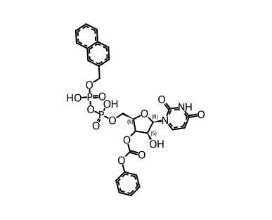 O=C(Oc1ccccc1)OC1[C@@H](COP(=O)(O)OP(=O)(O)OCc2ccc3ccccc3c2)O[C@@H](n2ccc(=O)[nH]c2=O)[C@H]1O